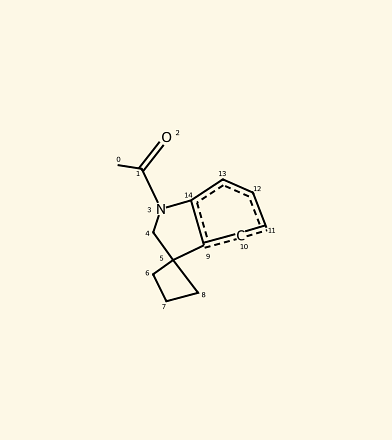 CC(=O)N1CC2(CCC2)c2ccccc21